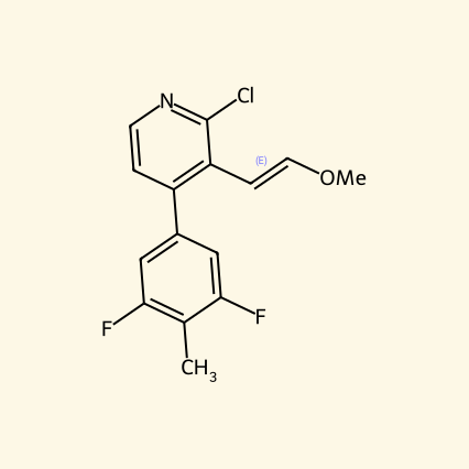 CO/C=C/c1c(-c2cc(F)c(C)c(F)c2)ccnc1Cl